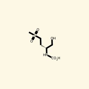 CS(=O)(=O)CC[C@H](CO)NC(=O)O